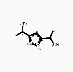 CC(C#N)c1cc([C@@H](C)C(C)C)no1